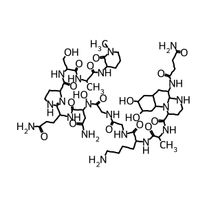 CC(NC(=O)C(CO)NC(=O)C1CCNC(C(CCC(N)=O)NC(=O)C(CC(N)=O)N(O)C(=O)CNC(=O)CNC(=O)C(CCCCN)NC(=O)C(C)NC(=O)C2CCNC3C(NC(=O)CCC(N)=O)CC4CC(O)C(O)CC4N23)=N1)C(=O)NC1CCCN(C)C1=O